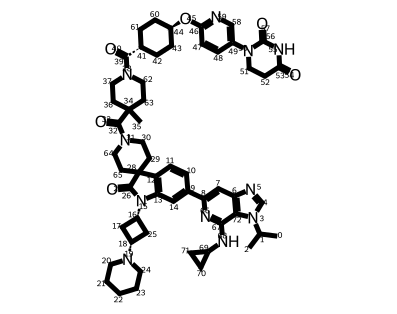 CC(C)n1cnc2cc(-c3ccc4c(c3)N([C@H]3C[C@@H](N5CCCCC5)C3)C(=O)C43CCN(C(=O)C4(C)CCN(C(=O)[C@H]5CC[C@H](Oc6ccc(N7CCC(=O)NC7=O)cn6)CC5)CC4)CC3)nc(NC3CC3)c21